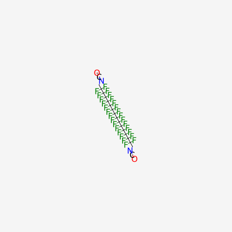 O=C=NCC(F)(F)C(F)(F)C(F)(F)C(F)(F)C(F)(F)C(F)(F)C(F)(F)C(F)(F)C(F)(F)C(F)(F)C(F)(F)C(F)(F)C(F)(F)C(F)(F)CN=C=O